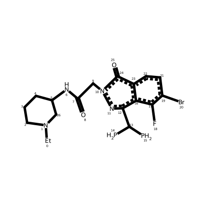 CCN1CCCC(NC(=O)Cn2nc(C(P)P)c3c(F)c(Br)ccc3c2=O)C1